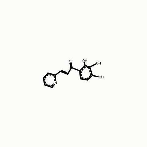 O=C(/C=C/c1ccccn1)c1ccc(O)c(O)c1O